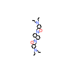 C=CCN(CC=C)c1ccc2c(c1)CN(c1cccc3c(N4COc5ccc(N(CC=C)CC=C)cc5C4)cccc13)CO2